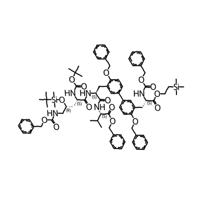 CC(C)[C@H](NC(=O)[C@H](Cc1cc(-c2ccc(OCc3ccccc3)c(C[C@H](NC(=O)OCc3ccccc3)C(=O)OCC[Si](C)(C)C)c2)ccc1OCc1ccccc1)NC(=O)[C@H](C[C@H](CNC(=O)OCc1ccccc1)O[Si](C)(C)C(C)(C)C)NC(=O)OC(C)(C)C)C(=O)OCc1ccccc1